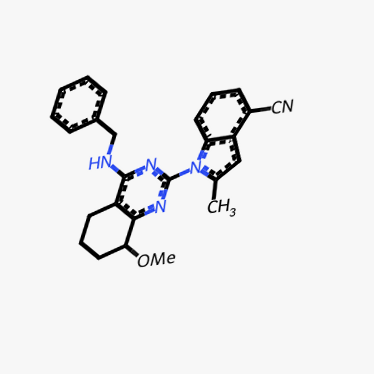 COC1CCCc2c(NCc3ccccc3)nc(-n3c(C)cc4c(C#N)cccc43)nc21